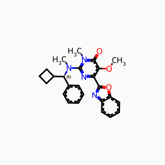 COc1c(-c2nc3ccccc3o2)nc(N(C)[C@@H](c2ccccc2)C2CCC2)n(C)c1=O